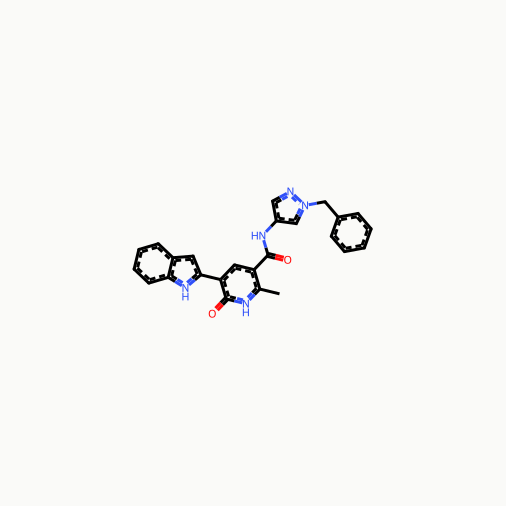 Cc1[nH]c(=O)c(-c2cc3ccccc3[nH]2)cc1C(=O)Nc1cnn(Cc2ccccc2)c1